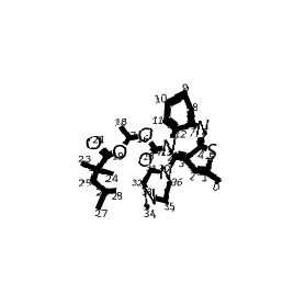 Cc1cc2c(s1)=Nc1ccccc1N(C(=O)OC(C)OC(=O)C(C)(C)CC(C)C)C=2N1CCN(C)CC1